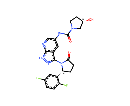 O=C(Nc1cnc2[nH]nc(N3C(=O)CC[C@@H]3c3cc(F)ccc3F)c2c1)N1CC[C@H](O)C1